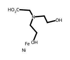 O=C(O)CN(CCO)CCO.[Fe].[Ni]